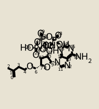 C=C(C)CCOC[C@H]1O[C@@H](n2cnc3c(N)ncnc32)[C@H](O)[C@@H]1OP(=O)(O)OP(=O)(O)OP(=O)(O)O